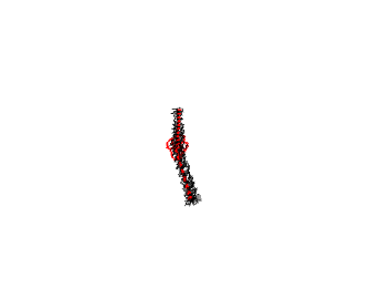 CC(C)CCCCCCCCCCCCCCOC(=O)CCC(=O)OCCCCCCCCCCCCCCC(C)C